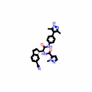 Cc1n[nH]c(C)c1-c1ccc(NC(=O)[C@@H](NC(=O)c2ccnn2C)[C@H]2C=Cc3ccc(C#N)cc32)cc1